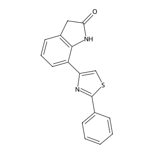 O=C1Cc2cccc(-c3csc(-c4ccccc4)n3)c2N1